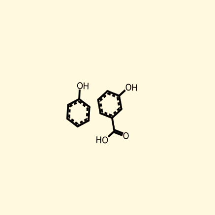 O=C(O)c1cccc(O)c1.Oc1ccccc1